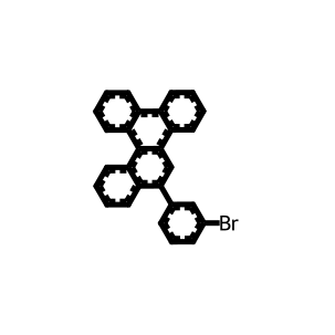 Brc1cccc(-c2cc3c4ccccc4c4ccccc4c3c3ccccc23)c1